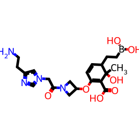 CC1(O)C(C(=O)O)=C(OC2CN(C(=O)Cn3cnc(CCN)c3)C2)C=CC1CCB(O)O